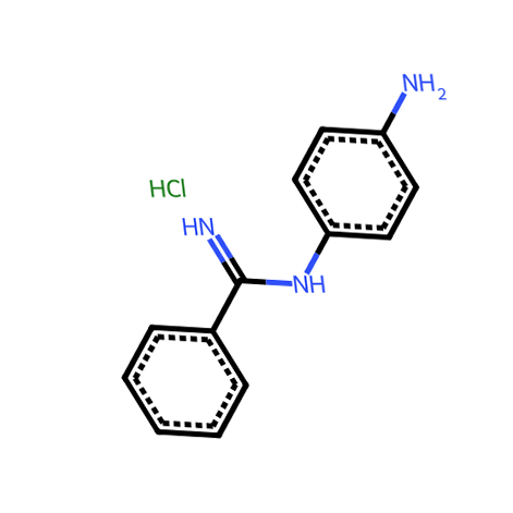 Cl.N=C(Nc1ccc(N)cc1)c1ccccc1